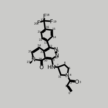 C=CC(=O)N1CCC(Nc2nnc(-c3ccc(C(F)(F)F)cc3)c3ccn(C)c(=O)c23)C1